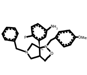 COc1ccc(CN2OCC3CN(Cc4ccccc4)C[C@@]32c2cc(N)ccc2F)cc1